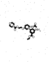 CCOC(=O)C1=C[C@@H](N2CCC[C@H](OCCOC(=O)N3CCOCC3)C2)[C@H](NC(C)=O)[C@@H](N)C1